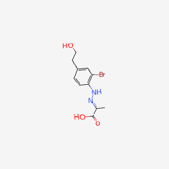 C/C(=N\Nc1ccc(CCO)cc1Br)C(=O)O